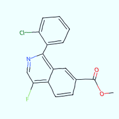 COC(=O)c1ccc2c(F)cnc(-c3ccccc3Cl)c2c1